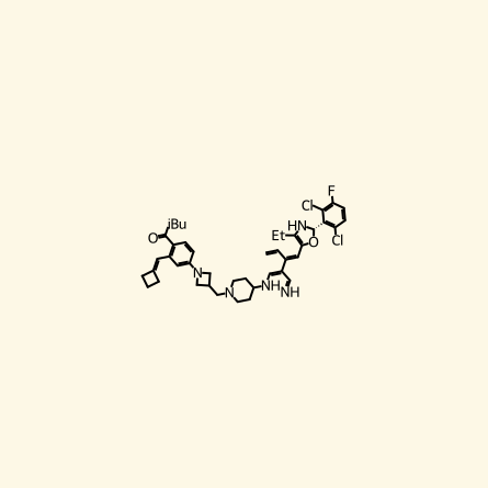 C=CC(=C\C1=C(CC)N[C@H](c2c(Cl)ccc(F)c2Cl)O1)/C(C=N)=C/NC1CCN(CC2CN(c3ccc(C(=O)C(C)CC)c(C=C4CCC4)c3)C2)CC1